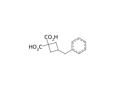 O=C(O)C1(C(=O)O)CC(Cc2ccccc2)C1